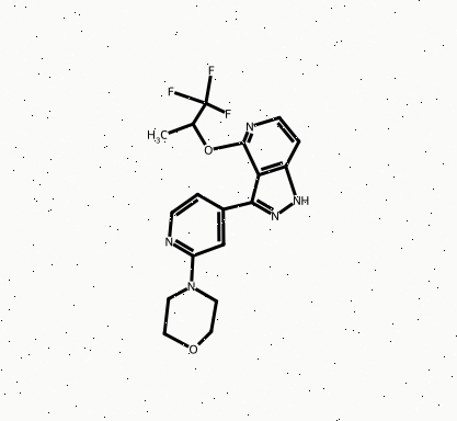 CC(Oc1nccc2[nH]nc(-c3ccnc(N4CCOCC4)c3)c12)C(F)(F)F